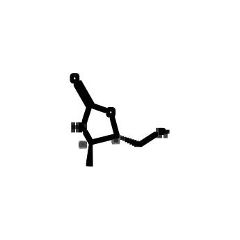 CC(C)C[C@H]1OC(=O)N[C@@H]1C